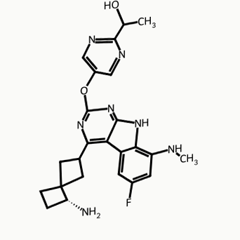 CNc1cc(F)cc2c1[nH]c1nc(Oc3cnc(C(C)O)nc3)nc(C3CC4(CC[C@H]4N)C3)c12